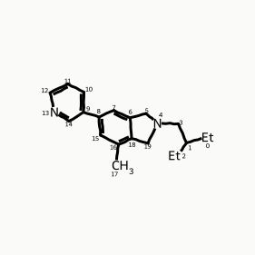 CCC(CC)CN1Cc2cc(-c3cccnc3)cc(C)c2C1